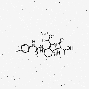 CC(O)[C@H]1C(=O)N2C(C(=O)[O-])=C3[C@@H](NC(=O)Nc4ccc(F)cc4)CCC[C@@H]3[C@H]12.[Na+]